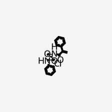 C=C(C(=O)NS(=O)(=O)Nc1ccccc1Cl)c1ccccc1